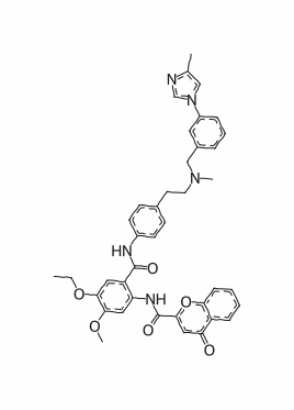 CCOc1cc(C(=O)Nc2ccc(CCN(C)Cc3cccc(-n4cnc(C)c4)c3)cc2)c(NC(=O)c2cc(=O)c3ccccc3o2)cc1OC